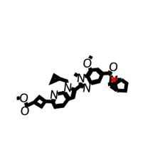 COC(=O)C1CC(c2ccc3cc(-c4nc5cc(C(=O)N6CC7CCC6[C@@H]7C)cc(OC)c5n4C)n(CC4CC4)c3n2)C1